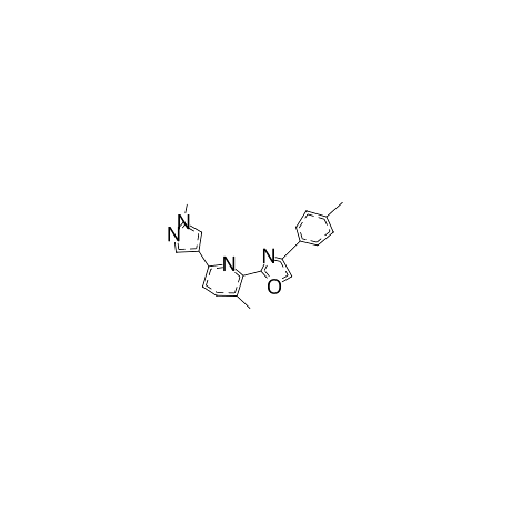 Cc1ccc(-c2coc(-c3nc(-c4cnn(C)c4)ccc3C)n2)cc1